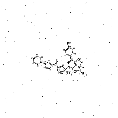 C[C@]1(C(N)=O)COc2c1cc(C(O)(CNC(=O)c1cnn(-c3ccccc3)c1)C(F)(F)F)nc2-c1ccc(F)cc1